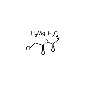 C=CC(=O)OC(=O)CCl.[MgH2]